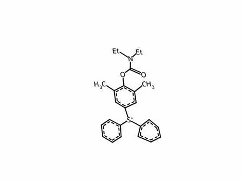 CCN(CC)C(=O)Oc1c(C)cc([S+](c2ccccc2)c2ccccc2)cc1C